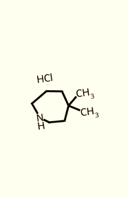 CC1(C)CCCNCC1.Cl